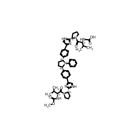 COC(=O)N[C@H](C(=O)N1CCC[C@H]1c1nc(-c2ccc([C@H]3CC[C@H](c4ccc(-c5c[nH]c([C@@H]6CCCN6C(=O)[C@@H](NC(=O)O)C(C)C)n5)cc4)N3c3ccccc3)cc2)c[nH]1)C(C)C